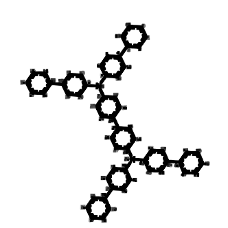 c1ccc(-c2ccc(N(c3ccc(-c4ccccc4)cc3)c3ccc(-c4ccc(N(c5ccc(-c6ccccc6)cc5)c5ccc(-c6ccccc6)cc5)cc4)cc3)cc2)cc1